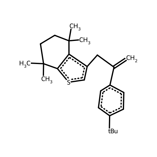 C=C(Cc1csc2c1C(C)(C)CCC2(C)C)c1ccc(C(C)(C)C)cc1